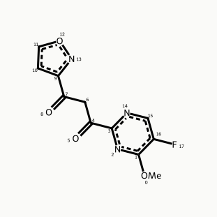 COc1nc(C(=O)CC(=O)c2ccon2)ncc1F